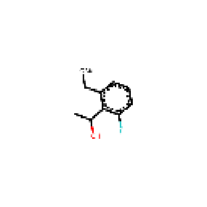 COCc1cccc(F)c1C(C)O